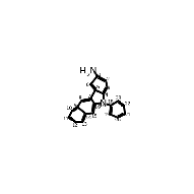 Nc1ccc2c(c1)c1cc3ccccc3cc1n2-c1ccccc1